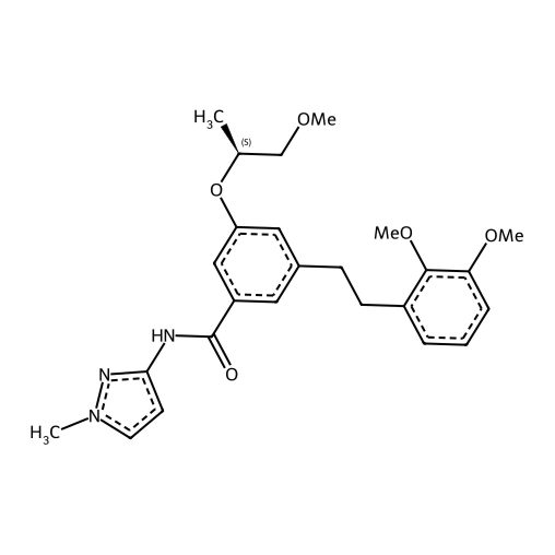 COC[C@H](C)Oc1cc(CCc2cccc(OC)c2OC)cc(C(=O)Nc2ccn(C)n2)c1